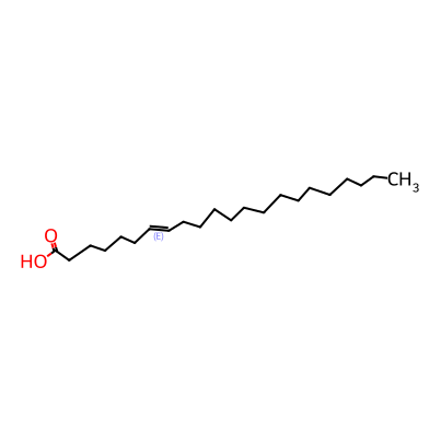 CCCCCCCCCCCCCC/C=C/CCCCCC(=O)O